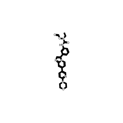 CCN(OC=O)C(=O)Nc1cccc(-c2cnc3cc(-c4ccc(N5CCOCC5)nc4)ccn23)c1